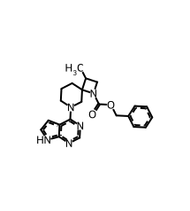 CC1CN(C(=O)OCc2ccccc2)C12CCCN(c1ncnc3[nH]ccc13)C2